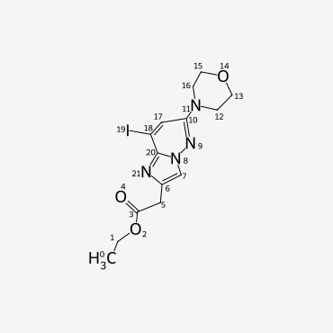 CCOC(=O)Cc1cn2nc(N3CCOCC3)cc(I)c2n1